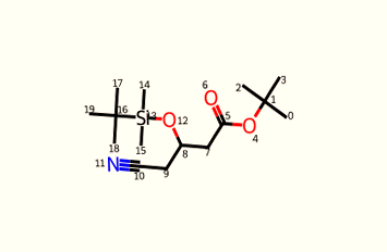 CC(C)(C)OC(=O)CC(CC#N)O[Si](C)(C)C(C)(C)C